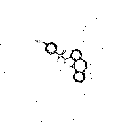 COc1ccc(S(=O)(=O)Nc2cccc3c2Nc2ccccc2C=C3)cc1